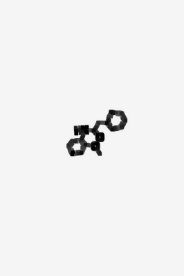 COc1ccccc1NC(=O)Cc1ccccc1